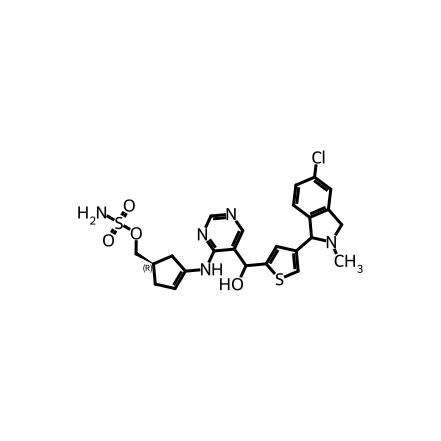 CN1Cc2cc(Cl)ccc2C1c1csc(C(O)c2cncnc2NC2=CC[C@@H](COS(N)(=O)=O)C2)c1